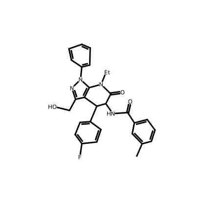 CCN1C(=O)C(NC(=O)c2cccc(C)c2)C(c2ccc(F)cc2)c2c(CO)nn(-c3ccccc3)c21